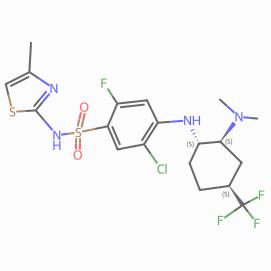 Cc1csc(NS(=O)(=O)c2cc(Cl)c(N[C@H]3CC[C@H](C(F)(F)F)C[C@@H]3N(C)C)cc2F)n1